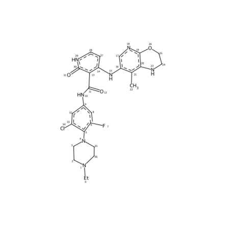 CCN1CCN(c2c(F)cc(NC(=O)c3c(Nc4cnc5c(c4C)NCCO5)cc[nH]c3=O)cc2Cl)CC1